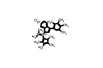 CC1=C(C)C(C)[C]([Zr+2]([CH]2C=C(c3cc(C)c(C)c(C)c3C)c3ccccc32)=[Si](C)C)=C1C.[Cl-].[Cl-]